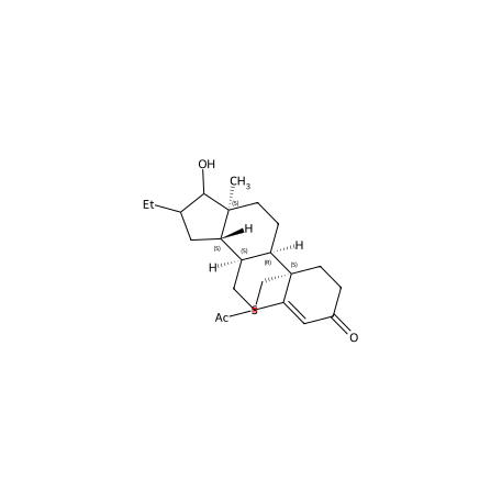 CCC1C[C@H]2[C@@H]3CCC4=CC(=O)CC[C@]4(CSC(C)=O)[C@@H]3CC[C@]2(C)C1O